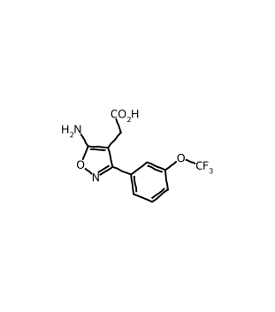 Nc1onc(-c2cccc(OC(F)(F)F)c2)c1CC(=O)O